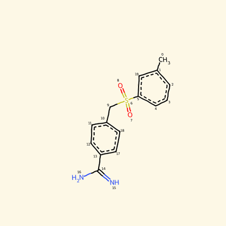 Cc1cccc(S(=O)(=O)Cc2ccc(C(=N)N)cc2)c1